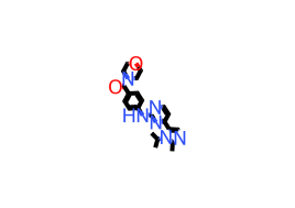 Cc1ncc(-c2ccnc(Nc3ccc(C(=O)N4CCOCC4)cc3)n2)n1C(C)C